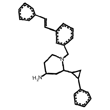 NC1CCN(Cc2cccc(C=Cc3ccccc3)c2)C(C2CC2c2ccccc2)C1